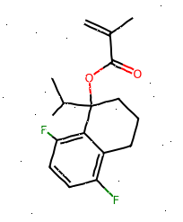 C=C(C)C(=O)OC1(C(C)C)CCCc2c(F)ccc(F)c21